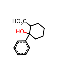 O=C(O)C1CCCCC1(O)c1ccccc1